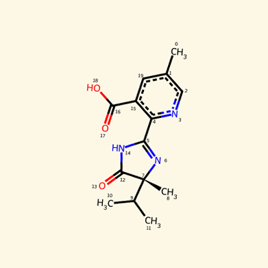 Cc1cnc(C2=N[C@](C)(C(C)C)C(=O)N2)c(C(=O)O)c1